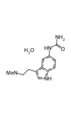 CNCCc1c[nH]c2ccc(NC(N)=O)cc12.O